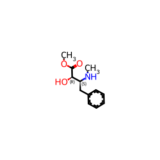 CN[C@@H](Cc1ccccc1)[C@@H](O)C(=O)OC